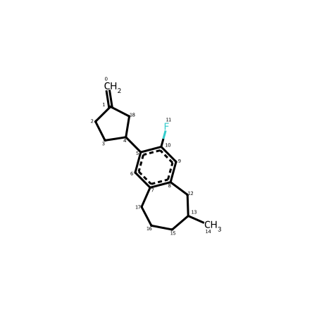 C=C1CCC(c2cc3c(cc2F)CC(C)CCC3)C1